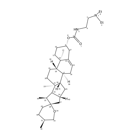 CCN(CC)CCNC(=O)O[C@H]1CC[C@@]2(C)C(=CC[C@@H]3[C@@H]2CC[C@]2(C)C4[C@H](C[C@@H]32)C[C@@]2(CC[C@H](C)CO2)[C@H]4C)C1